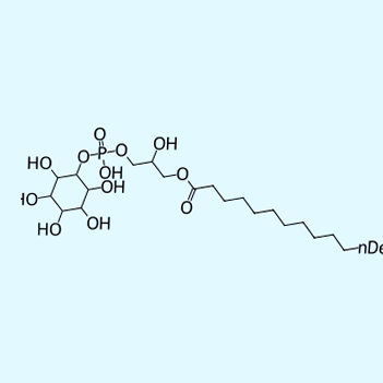 CCCCCCCCCCCCCCCCCCCCC(=O)OCC(O)COP(=O)(O)OC1C(O)C(O)C(O)C(O)C1O